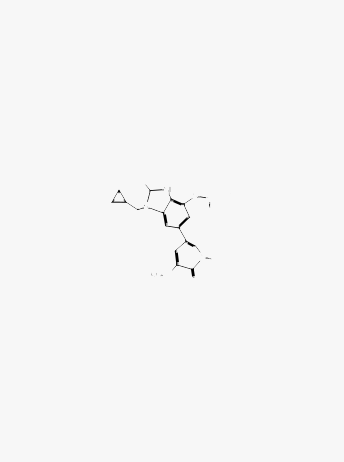 COc1cc(-c2cc(N[S+](C)[O-])c3c(c2)N(CC2CC2)C(C(F)(F)F)N3)cn(C)c1=O